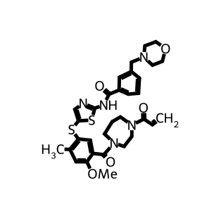 C=CC(=O)N1CCCN(C(=O)c2cc(Sc3cnc(NC(=O)c4cccc(CN5CCOCC5)c4)s3)c(C)cc2OC)CC1